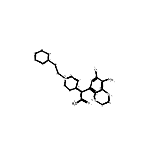 NC(=O)C(c1cc(Cl)c(N)c2c1OCCO2)C1CCN(CCC2CCCCC2)CC1